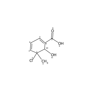 CC1(Cl)C=CC=C(C(=O)O)C1O